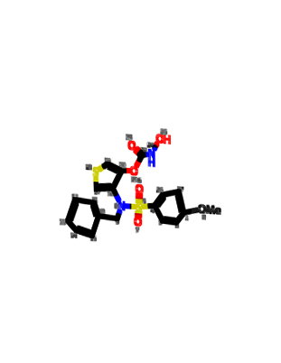 COc1ccc(S(=O)(=O)N(Cc2ccccc2)c2cscc2OC(=O)NO)cc1